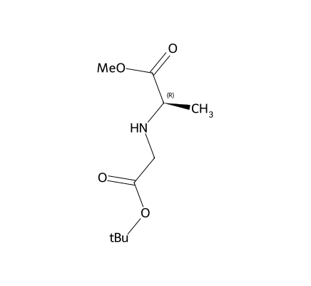 COC(=O)[C@@H](C)NCC(=O)OC(C)(C)C